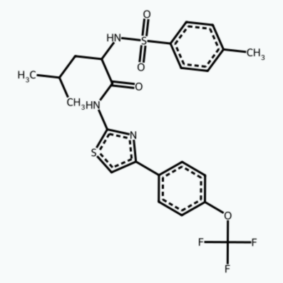 Cc1ccc(S(=O)(=O)NC(CC(C)C)C(=O)Nc2nc(-c3ccc(OC(F)(F)F)cc3)cs2)cc1